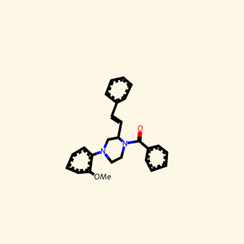 COc1ccccc1N1CCN(C(=O)c2ccccc2)C(C=Cc2ccccc2)C1